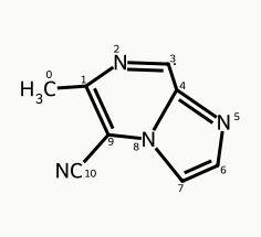 Cc1n[c]c2nccn2c1C#N